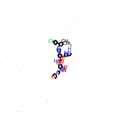 CC1(C)CCC(CN2CCN(c3ccc(C(=O)NS(=O)(=O)c4ccc(NC5CN(C6CCOCC6)C5)c([N+](=O)[O-])c4)c(Oc4cnc5[nH]ccc5c4)c3)CC2)=C(c2ccc(Cl)cc2)C1